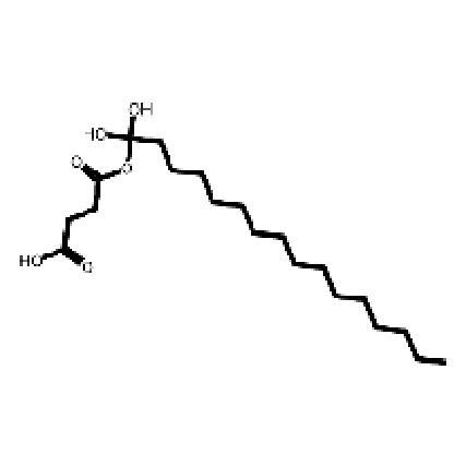 CCCCCCCCCCCCCCCC(O)(O)OC(=O)CCC(=O)O